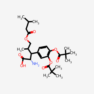 CC(C)CC(=O)OCC(C)C(c1ccc(OC(=O)C(C)(C)C)c(OC(=O)C(C)(C)C)c1)[C@H](N)C(=O)O